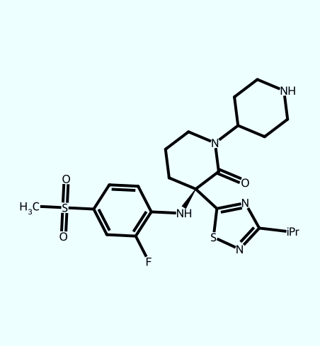 CC(C)c1nsc([C@]2(Nc3ccc(S(C)(=O)=O)cc3F)CCCN(C3CCNCC3)C2=O)n1